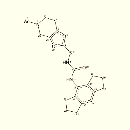 CC(=O)N1CCc2cc(SNC(=O)Nc3c4c(cc5c3CCC5)CCC4)oc2C1